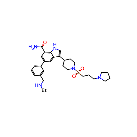 CCNCc1cccc(-c2cc(C(N)=O)c3[nH]cc(C4CCN(S(=O)(=O)CCCN5CCCC5)CC4)c3c2)c1